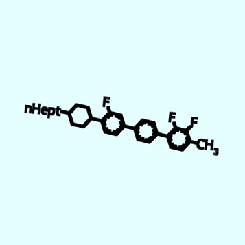 CCCCCCCC1CCC(c2ccc(-c3ccc(-c4ccc(C)c(F)c4F)cc3)cc2F)CC1